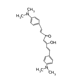 CN(C)c1ccc(/C=C/C(=O)/C=C(O)/C=C/c2ccc(N(C)C)cc2)cc1